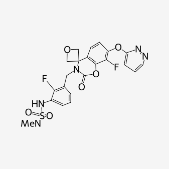 CNS(=O)(=O)Nc1cccc(CN2C(=O)Oc3c(ccc(Oc4cccnn4)c3F)C23COC3)c1F